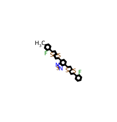 Cc1ccc(-c2cc3sc(-c4ccc(C5=CC6SC(c7ccccc7F)=CC6S5)c5nsnc45)cc3s2)c(F)c1